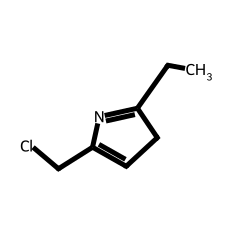 CCC1=NC(CCl)=CC1